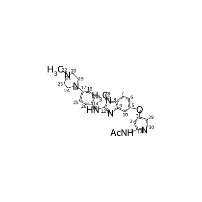 CC(=O)Nc1cc(Oc2ccc3c(c2)nc(Nc2ccc(N4CCN(C)CC4)cc2)n3C)ccn1